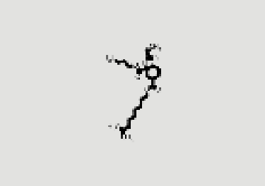 C=CC(=O)OC1(C(=O)OCCCC)CCCC(C(=O)OCCCCCCCC(C)C)C1